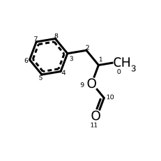 CC(Cc1ccccc1)OC=O